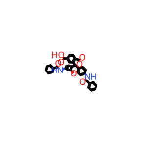 O=C(O)c1ccc2c(c1)C1(OC2=O)c2ccc(NC(=O)c3ccccc3)cc2Oc2cc(NC(=O)c3ccccc3)ccc21